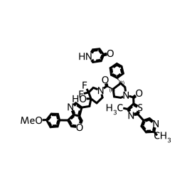 COc1ccc(-c2cocc3c(CC4(O)CCN(C(=O)[C@@H]5CCN(C(=O)c6sc(-c7ccc(C)nc7)nc6C)C[C@H]5c5ccccc5)CC4(F)F)cnc2-3)cc1.O=c1cc[nH]cc1